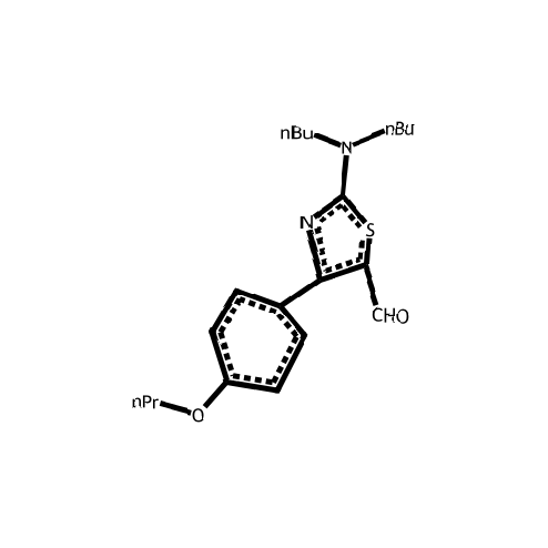 CCCCN(CCCC)c1nc(-c2ccc(OCCC)cc2)c(C=O)s1